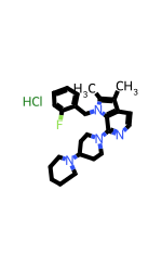 Cc1c(C)n(Cc2ccccc2F)c2c(N3CCC(N4CCCCC4)CC3)nccc12.Cl